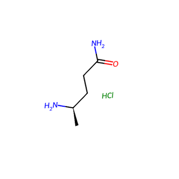 C[C@@H](N)CCC(N)=O.Cl